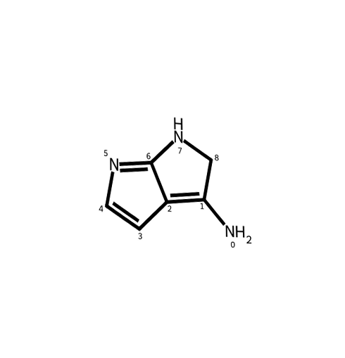 NC1=C2C=CN=C2NC1